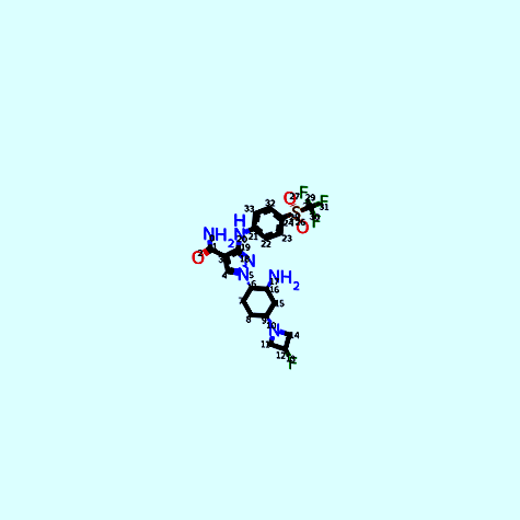 NC(=O)c1cn([C@H]2CC[C@H](N3CC(F)C3)C[C@@H]2N)nc1Nc1ccc(S(=O)(=O)C(F)(F)F)cc1